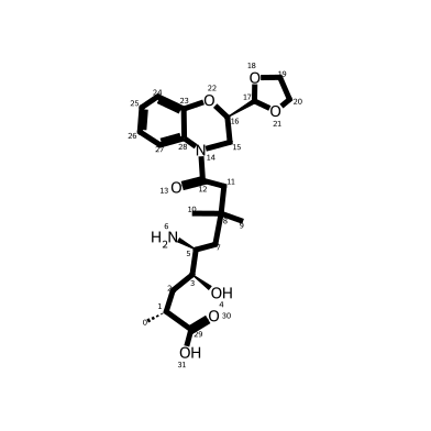 C[C@H](C[C@H](O)[C@@H](N)CC(C)(C)CC(=O)N1C[C@H](C2OCCO2)Oc2ccccc21)C(=O)O